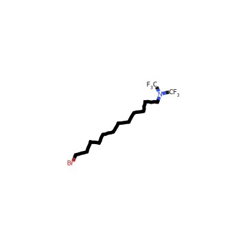 FC(F)(F)N(CCCCCCCCCCCCBr)C(F)(F)F